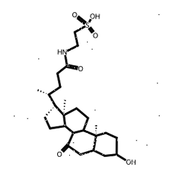 C[C@H](CCC(=O)NCCS(=O)(=O)O)[C@H]1CCC2C3C(=O)CC4CC(O)CC[C@]4(C)C3CC[C@@]21C